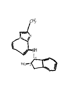 Cc1cn2cccc(N[C@@H]3c4ccccc4C[C@H]3O)c2n1